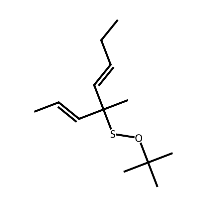 CC=CC(C)(C=CCC)SOC(C)(C)C